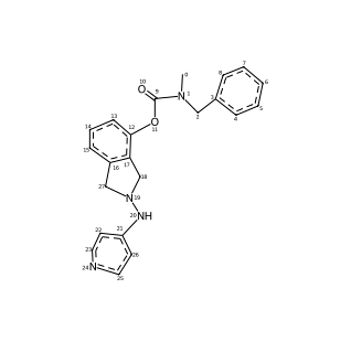 CN(Cc1ccccc1)C(=O)Oc1cccc2c1CN(Nc1ccncc1)C2